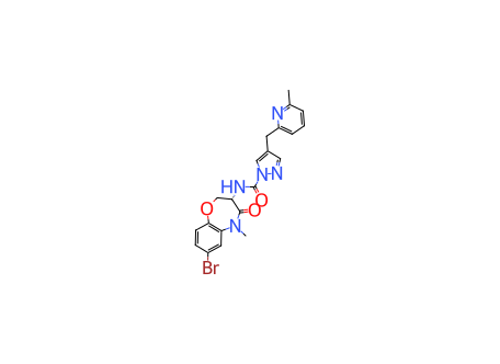 Cc1cccc(Cc2cnn(C(=O)N[C@H]3COc4ccc(Br)cc4N(C)C3=O)c2)n1